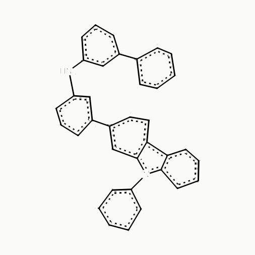 c1ccc(-c2cccc(Nc3cccc(-c4ccc5c6ccccc6n(-c6ccccc6)c5c4)c3)c2)cc1